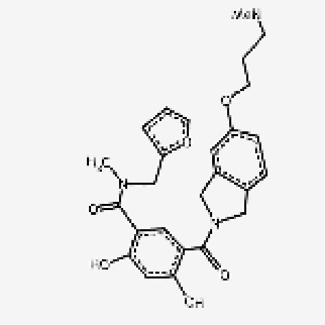 CNCCCOc1ccc2c(c1)CN(C(=O)c1cc(C(=O)N(C)Cc3ccco3)c(O)cc1O)C2